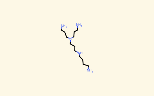 NCCCCNCCCN(CCCN)CCCN